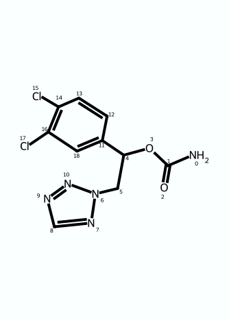 NC(=O)OC(Cn1ncnn1)c1ccc(Cl)c(Cl)c1